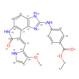 CCOC(=O)c1ccc(Nc2nc3c4c(ccc3[nH]2)NC(=O)C4=Cc2[nH]ccc2OC)cc1